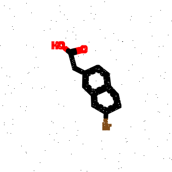 O=C(O)Cc1ccc2ccc(Br)cc2c1